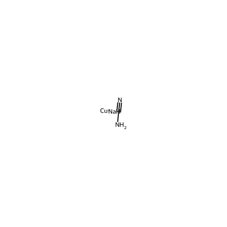 N#CN.[Cu].[NaH]